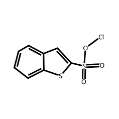 O=S(=O)(OCl)c1cc2ccccc2s1